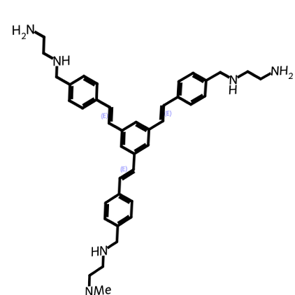 CNCCNCc1ccc(/C=C/c2cc(/C=C/c3ccc(CNCCN)cc3)cc(/C=C/c3ccc(CNCCN)cc3)c2)cc1